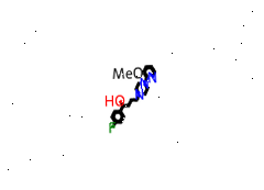 COc1cccnc1N1CCN(CCCC(O)c2ccc(F)cc2)CC1